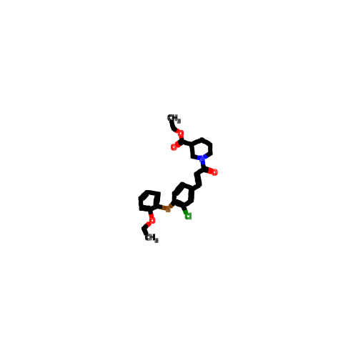 CCOC(=O)C1CCCN(C(=O)C=Cc2ccc(Sc3ccccc3OCC)c(Cl)c2)C1